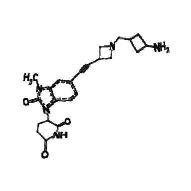 Cn1c(=O)n(C2CCC(=O)NC2=O)c2ccc(C#CC3CN(CC4CC(N)C4)C3)cc21